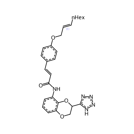 CCCCCC/C=C/COc1ccc(C=CC(=O)Nc2cccc3c2OC(c2nnn[nH]2)CO3)cc1